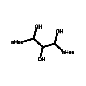 CCCCCCC(O)C(O)C(O)CCCCCC